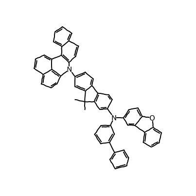 CC1(C)c2cc(N(c3cccc(-c4ccccc4)c3)c3ccc4oc5ccccc5c4c3)ccc2-c2ccc(N3c4ccc5ccccc5c4-c4cccc5cccc3c45)cc21